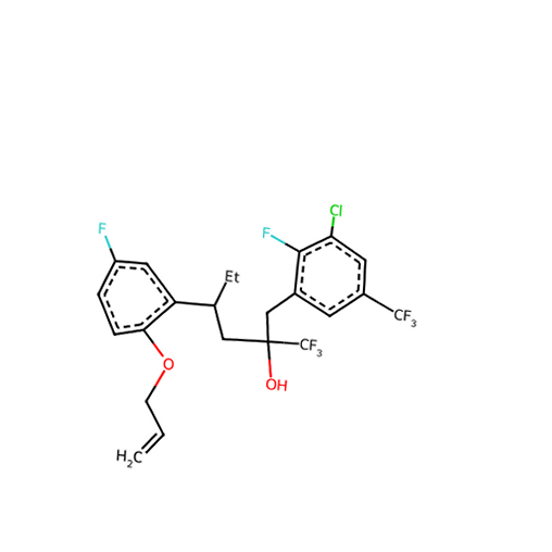 C=CCOc1ccc(F)cc1C(CC)CC(O)(Cc1cc(C(F)(F)F)cc(Cl)c1F)C(F)(F)F